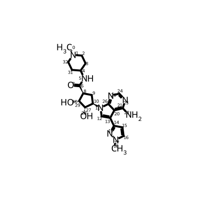 CN1CCC(NC(=O)[C@H]2C[C@@H](n3cc(-c4ccn(C)n4)c4c(N)ncnc43)[C@H](O)[C@@H]2O)CC1